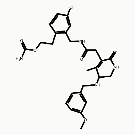 COc1cccc(CNC2CNC(=O)C(CC(=O)NCc3cc(Cl)ccc3CCOC(N)=O)=C2C)c1